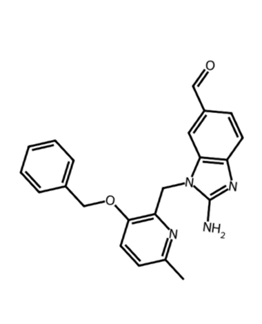 Cc1ccc(OCc2ccccc2)c(Cn2c(N)nc3ccc(C=O)cc32)n1